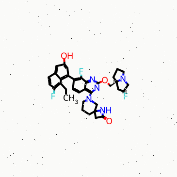 CCc1c(F)ccc2cc(O)cc(-c3ccc4c(N5CCCC6(CC(=O)N6)C5)nc(OC[C@@]56CCCN5C[C@H](F)C6)nc4c3F)c12